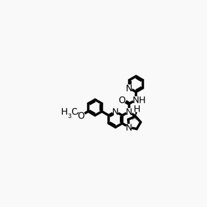 COc1cccc(-c2ccc3c(n2)N(C(=O)Nc2ccccn2)[C@@H]2CCN3C2)c1